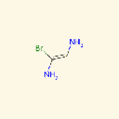 N/C=C(/N)Br